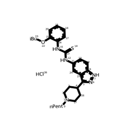 CCCCCN1CCC(c2n[nH]c3ccc(NC(=S)Nc4ccccc4OC(C)CC)cc23)CC1.Cl